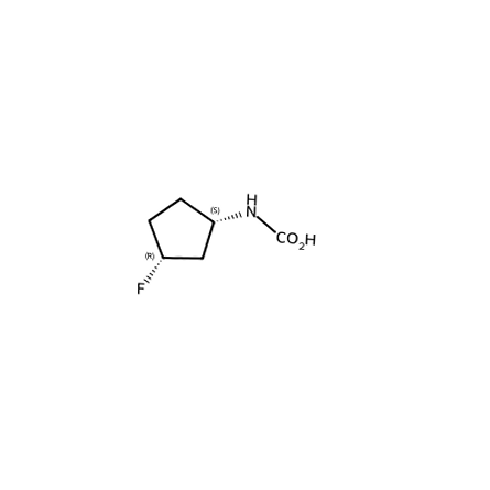 O=C(O)N[C@H]1CC[C@@H](F)C1